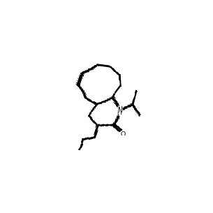 CCCC1CC2CCCCCCCC2N(C(C)C)C1=O